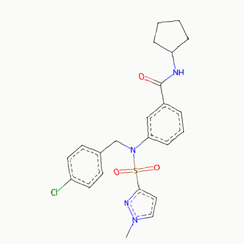 Cn1ccc(S(=O)(=O)N(Cc2ccc(Cl)cc2)c2cccc(C(=O)NC3CCCC3)c2)n1